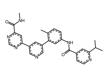 CNC(=O)c1cc(-c2cncc(-c3cc(NC(=O)c4ccnc(C(C)C)c4)ccc3C)c2)ncn1